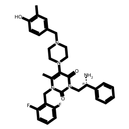 Cc1cc(CN2CCN(c3c(C)n(Cc4c(F)cccc4F)c(=O)n(C[C@H](N)c4ccccc4)c3=O)CC2)ccc1O